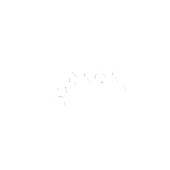 COc1ccc(-c2cnc(C(=O)Nc3ccc(C(=O)N4CCNCC4)c(Cl)c3)n2C)c(F)c1F